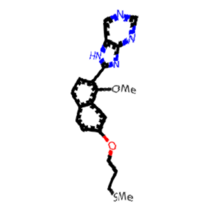 COc1c(-c2nc3ncncc3[nH]2)ccc2ccc(OCCCSC)cc12